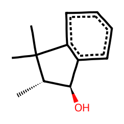 C[C@H]1[C@H](O)c2ccccc2C1(C)C